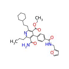 CCCc1nc(CCC2CCCCC2)c(C(=O)OCC)c(-c2ccc(C(=O)NCc3ccco3)cc2)c1C(N)=O